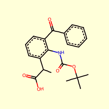 CC(C(=O)O)c1cccc(C(=O)c2ccccc2)c1NC(=O)OC(C)(C)C